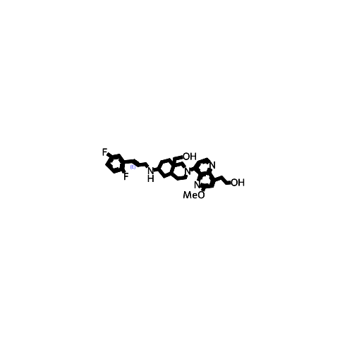 COc1cc(CCO)c2nccc(N3CCC4CC(NC/C=C/c5cc(F)ccc5F)CCC4(CO)C3)c2n1